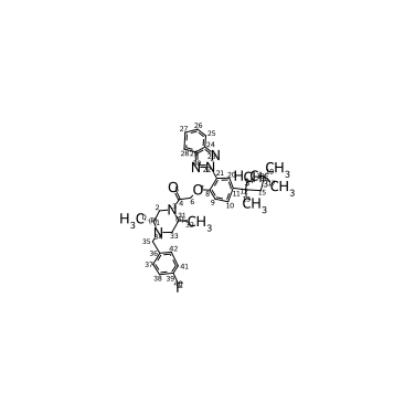 C[C@@H]1CN(C(=O)COc2ccc(C(C)(C)CC(C)(C)C)cc2-n2nc3ccccc3n2)[C@@H](C)CN1Cc1ccc(F)cc1